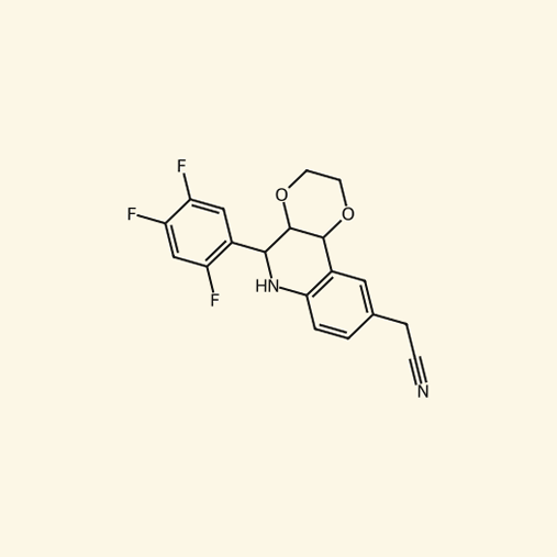 N#CCc1ccc2c(c1)C1OCCOC1C(c1cc(F)c(F)cc1F)N2